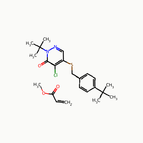 C=CC(=O)OC.CC(C)(C)c1ccc(CSc2cnn(C(C)(C)C)c(=O)c2Cl)cc1